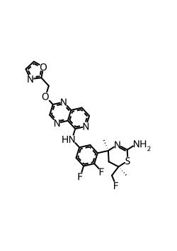 C[C@]1(CF)C[C@@](C)(c2cc(Nc3nccc4nc(OCc5ncco5)cnc34)cc(F)c2F)N=C(N)S1